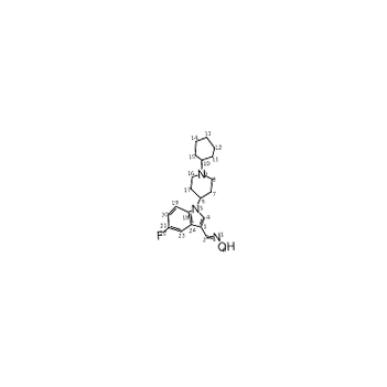 O/N=C/c1cn(C2CCN(C3CCCCC3)CC2)c2ccc(F)cc12